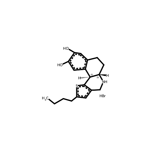 Br.CCCCc1cc2c(s1)[C@H]1c3cc(O)c(O)cc3CC[C@@H]1NC2